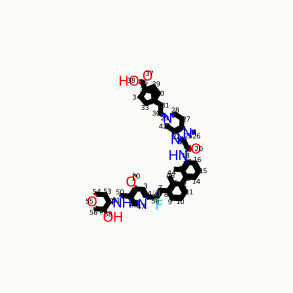 COc1cc(/C(F)=C/c2cccc(-c3cccc(NC(=O)c4nc5c(n4C)CCN(CCC46CCC(C(=O)O)(CC4)C6)C5)c3C)c2C)ncc1CN[C@H]1CCOC[C@@H]1O